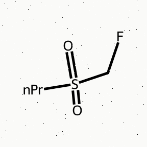 CCCS(=O)(=O)CF